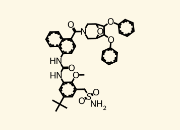 COc1c(CS(N)(=O)=O)cc(C(C)(C)C)cc1NC(=O)Nc1ccc(C(=O)N2CC3OC(C2)C(Oc2ccccc2)C3Oc2ccccc2)c2ccccc12